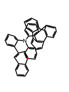 c1ccc(N(c2ccccc2-c2ccc3ccccc3c2)c2cccc3c2-c2c4cccc2-c2cccc-3c2-c2ccccc2-4)cc1